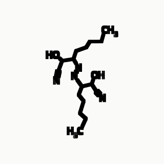 CCCCCC(N=NC(CCCCC)C(O)C#N)C(O)C#N